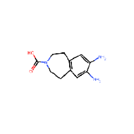 Nc1cc2c(cc1N)CCN(C(=O)O)CC2